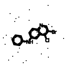 Clc1c(Br)cnc2ccc(Nc3ccccc3)cc12